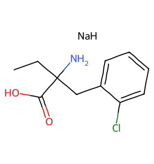 CCC(N)(Cc1ccccc1Cl)C(=O)O.[NaH]